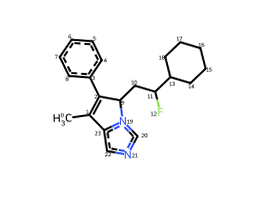 CC1=C(c2ccccc2)C(CC(F)C2CCCCC2)n2cncc21